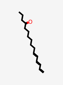 C=CC=CC=CCCCCCCC(=O)CCC